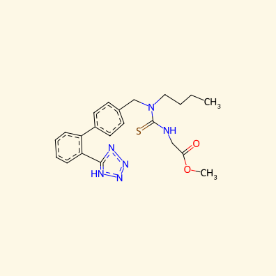 CCCCN(Cc1ccc(-c2ccccc2-c2nnn[nH]2)cc1)C(=S)NCC(=O)OC